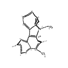 CCCn1c2ccccc2c2c3ccccc3c(CC)cc21